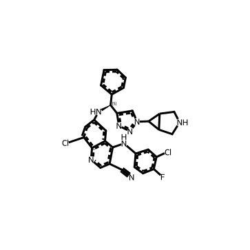 N#Cc1cnc2c(Cl)cc(N[C@@H](c3ccccc3)c3cn(C4C5CNCC54)nn3)cc2c1Nc1ccc(F)c(Cl)c1